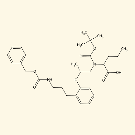 CCCC(C(=O)O)N(C[C@@H](C)Oc1ccccc1CCCNC(=O)OCc1ccccc1)C(=O)OC(C)(C)C